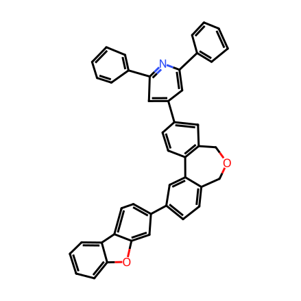 c1ccc(-c2cc(-c3ccc4c(c3)COCc3ccc(-c5ccc6c(c5)oc5ccccc56)cc3-4)cc(-c3ccccc3)n2)cc1